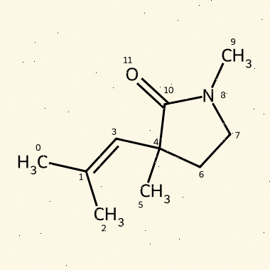 CC(C)=CC1(C)CCN(C)C1=O